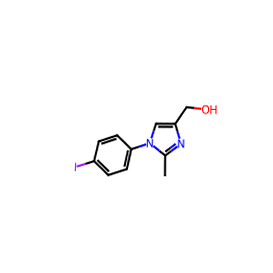 Cc1nc(CO)cn1-c1ccc(I)cc1